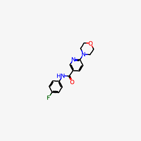 O=C(Nc1ccc(F)cc1)c1ccc(N2CCOCC2)nc1